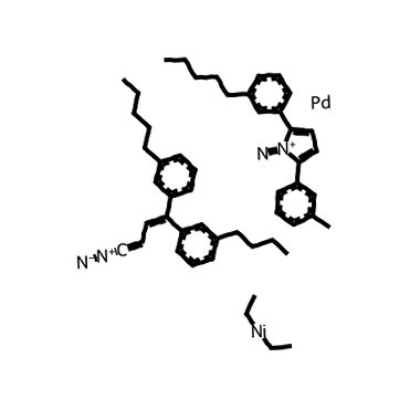 CCCCCc1cccc(C(=CC=C=[N+]=[N-])c2cccc(CCCC)c2)c1.CCCCCc1cccc(C2=CC=C(c3cccc(C)c3)[N+]2=[N-])c1.C[CH2][Ni][CH2]C.[Pd]